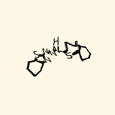 C1CCc2sc(N=NNc3nc4c(s3)CCCC4)nc2C1